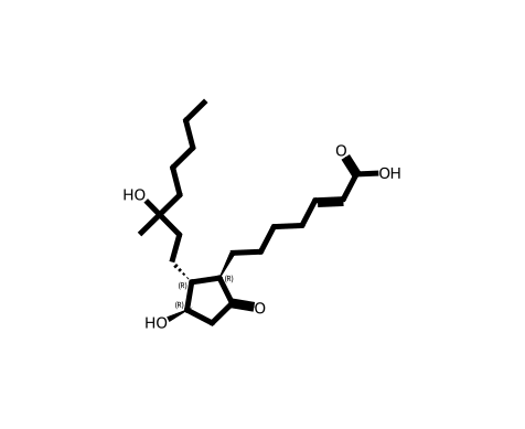 CCCCCC(C)(O)CC[C@H]1[C@H](O)CC(=O)[C@@H]1CCCCC=CC(=O)O